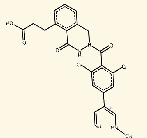 CN/C=C(\C=N)c1cc(Cl)c(C(=O)N2Cc3cccc(CCC(=O)O)c3C(=O)N2)c(Cl)c1